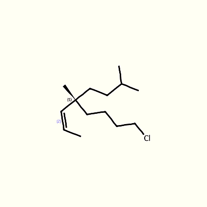 C/C=C\[C@@](C)(CCCCCl)CCC(C)C